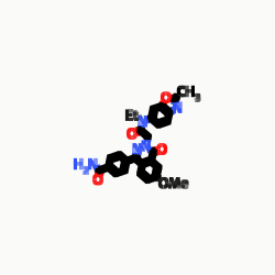 CCN(C(=O)Cn1nc(-c2ccc(C(N)=O)cc2)c2ccc(OC)cc2c1=O)c1ccc2nc(C)oc2c1